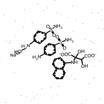 CO.Nc1ccc(S(N)(=O)=O)cc1.Nc1ccc(S(N)(=O)=O)cc1.O=C([O-])C(O)C(O)(Nc1cccc2ccccc12)C(=O)[O-].[Na+].[Na+]